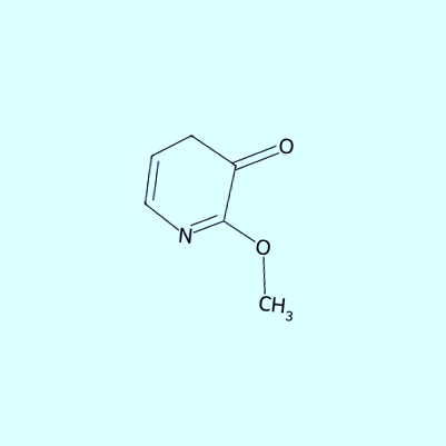 COC1=NC=CCC1=O